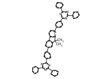 CC1(C)c2cc(-c3ccc(-c4nc(-c5ccccc5)nc(-c5ccccc5)n4)cc3)ccc2-c2ccc(-c3ccc(-c4nc(-c5ccccc5)nc(-c5ccccc5)n4)cc3)cc21